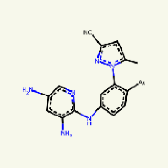 CC(=O)c1ccc(Nc2ncc(N)cc2N)cc1-n1nc(C#N)cc1C